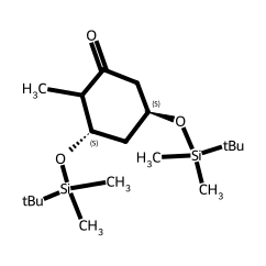 CC1C(=O)C[C@@H](O[Si](C)(C)C(C)(C)C)C[C@@H]1O[Si](C)(C)C(C)(C)C